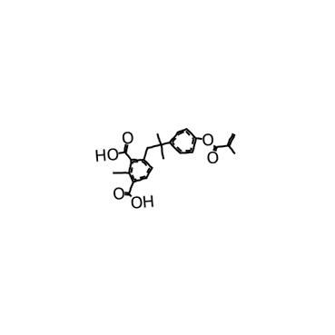 C=C(C)C(=O)Oc1ccc(C(C)(C)Cc2ccc(C(=O)O)c(C)c2C(=O)O)cc1